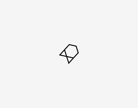 C1CC2CC23CC3C1